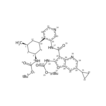 C[C@@H]1C[C@H](NC(=O)OC(C)(C)C)C[C@H](c2ccncc2NC(=O)c2c(NC(=O)OC(C)(C)C)oc3cc(C4CC4)cnc23)C1